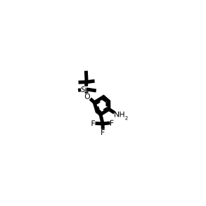 CC(C)(C)[Si](C)(C)Oc1ccc(N)c(C(F)(F)F)c1